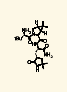 CC1(C)C[C@@H](C[C@H](NC(=O)[C@@H]2[C@@H]3[C@H](CN2C(=O)[C@@H](N)C(C)(C)C)C3(C)C)C(N)=O)C(=O)N1